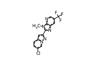 Cn1c(-c2cc3ccc(Cl)cn3n2)nc2cc(C(F)(F)F)cnc21